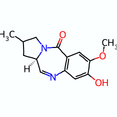 COc1cc2c(cc1O)N=C[C@H]1CC(C)CN1C2=O